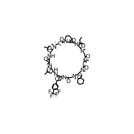 CCC(C)[C@@H]1NC(=O)[C@@H]2CCCCN2C(=O)C[C@@H](C)N(C)C(=O)[C@H](CC(C)C)NC(=O)C(C)(C)N(C)C(=O)[C@H](CC(C)C)NC(=O)[C@H](CCc2ccc(C(F)(F)F)c(F)c2)NC(=O)CN(C)C(=O)[C@H](CC2CCCCC2)N(C)C(=O)CN(C)C(=O)CN(C)C1=O